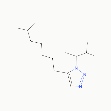 CC(C)CCCCCc1cnnn1C(C)C(C)C